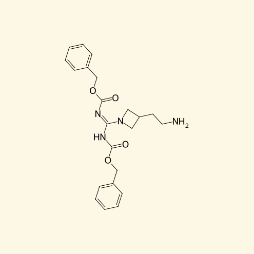 NCCC1CN(C(=NC(=O)OCc2ccccc2)NC(=O)OCc2ccccc2)C1